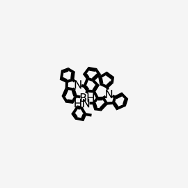 Cc1ccccc1Nc1ccc2c3ccccc3n(-c3ccccc3)c2c1-c1cc2ccccc2c2c1Bc1cccc3c4ccccc4n-2c13